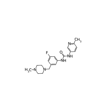 Cc1ccc(NC(=O)Nc2cc(F)cc(CN3CCN(C)CC3)c2)cn1